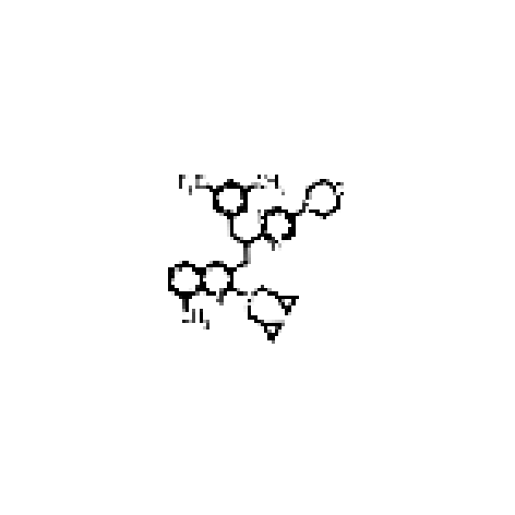 Cc1cc(CC(Cc2cc3cccc(C)c3nc2N(CC2CC2)CC2CC2)c2ncc(N3CCOCC3)cn2)cc(C(F)(F)F)c1